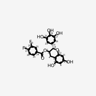 O=C(OC1Cc2c(O)cc(O)cc2O[C@H]1c1cc(O)c(O)c(O)c1)c1ccc(F)c(F)c1